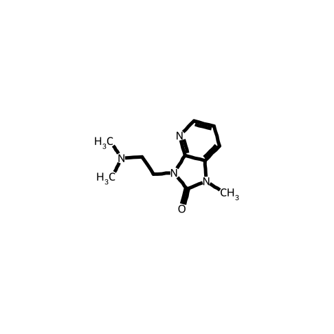 CN(C)CCn1c(=O)n(C)c2cccnc21